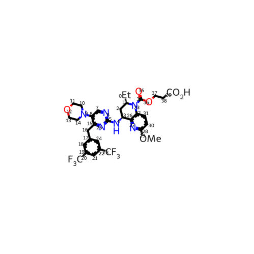 CC[C@@H]1C[C@H](Nc2ncc(N3CCOCC3)c(Cc3cc(C(F)(F)F)cc(C(F)(F)F)c3)n2)c2nc(OC)ccc2N1C(=O)OCCC(=O)O